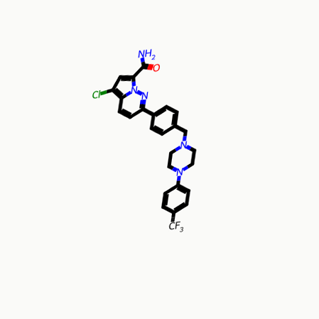 NC(=O)c1cc(Cl)c2ccc(-c3ccc(CN4CCN(c5ccc(C(F)(F)F)cc5)CC4)cc3)nn12